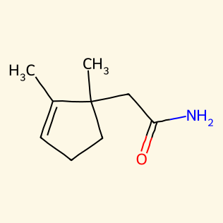 CC1=CCCC1(C)CC(N)=O